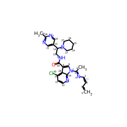 C=C/C=C\N=C(C)n1cc(C(=O)NCC(c2cnc(C)nc2)N2CCCCC2)c2c(Cl)ccnc21